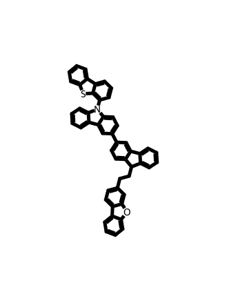 c1ccc2c(c1)-c1cc(-c3ccc4c(c3)c3ccccc3n4-c3cccc4c3sc3ccccc34)ccc1C2CCc1ccc2c(c1)oc1ccccc12